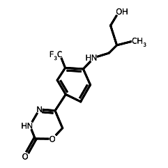 CC(CO)CNc1ccc(C2=NNC(=O)OC2)cc1C(F)(F)F